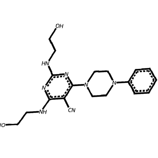 N#Cc1c(NCCO)nc(NCCO)nc1N1CCN(c2ccccc2)CC1